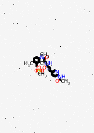 CC(=O)Nc1ccc(/C=C/C(=O)NCC(=O)N(C)c2ccc(C)c(COS(C)(=O)=O)c2C)cn1